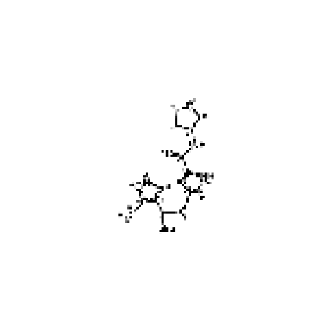 CCC(C)C(Oc1cc(C(=O)NC2CCOC2)[nH]n1)c1cnoc1C